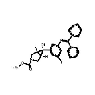 CC[C@@]1(c2cc(F)cc(N=C(c3ccccc3)c3ccccc3)c2)[C@@H]2CN(C(=O)OC(C)(C)C)C[C@@H]21